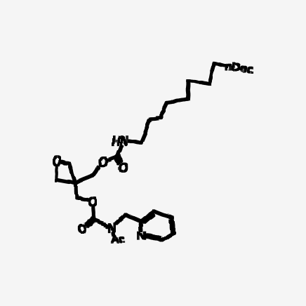 CCCCCCCCCCCCCCCCCCNC(=O)OCC1(COC(=O)N(Cc2ccccn2)C(C)=O)COC1